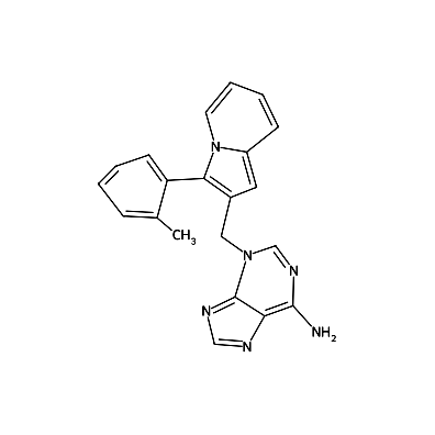 Cc1ccccc1-c1c(Cn2cnc(N)c3ncnc2-3)cc2ccccn12